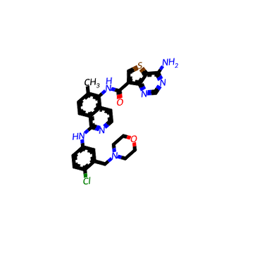 Cc1ccc2c(Nc3ccc(Cl)c(CN4CCOCC4)c3)nccc2c1NC(=O)c1csc2c(N)ncnc12